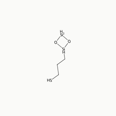 SCCC[SiH]1O[SiH2]O1